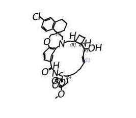 COC(=O)C[C@@H]1CC/C=C/[C@H](O)[C@@H]2CC[C@H]2CN2C[C@@]3(CCCc4cc(Cl)ccc43)COc3ccc(cc32)C(=O)NS1(=O)=O